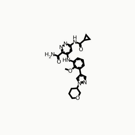 COc1c(Nc2cc(NC(=O)C3CC3)nnc2C(N)=O)cccc1-c1cnn(C2CCCOC2)c1